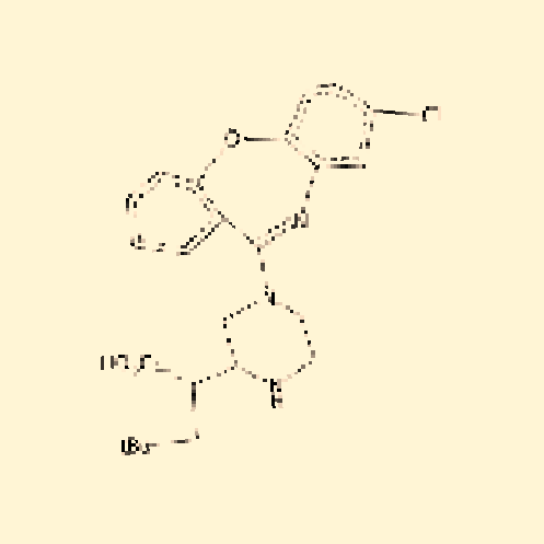 CC(C)(C)C[C@H](C(=O)O)C1CN(C2=Nc3cc(Cl)ccc3Oc3ccccc32)CCN1